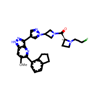 COc1cc2[nH]nc(-c3cnn(C4CN(C(=O)[C@@H]5CCN5CCF)C4)c3)c2nc1-c1cccc2c1CCC2